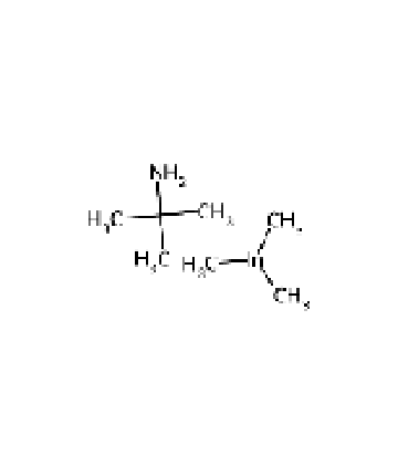 CC(C)(C)N.[CH3][In]([CH3])[CH3]